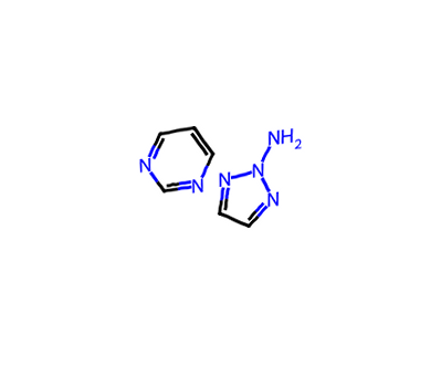 Nn1nccn1.c1cncnc1